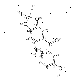 COc1cccc(C(=O)c2cc3c(cc2N)OC(F)(F)O3)c1